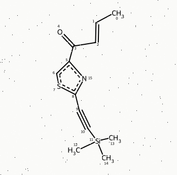 C/C=C/C(=O)c1csc(C#C[Si](C)(C)C)n1